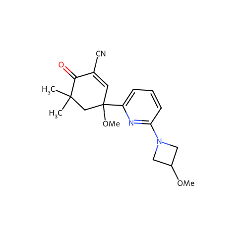 COC1CN(c2cccc(C3(OC)C=C(C#N)C(=O)C(C)(C)C3)n2)C1